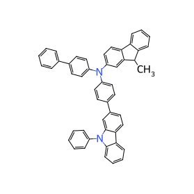 CC1c2ccccc2-c2ccc(N(c3ccc(-c4ccccc4)cc3)c3ccc(-c4ccc5c6ccccc6n(-c6ccccc6)c5c4)cc3)cc21